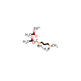 CC(=O)[O-].CC(=O)[O-].CP(C)CCCP(C)C.[Pd+2]